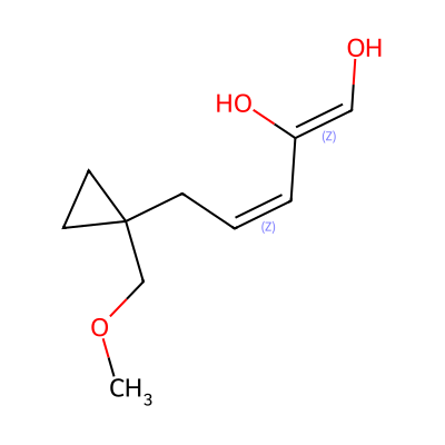 COCC1(C/C=C\C(O)=C\O)CC1